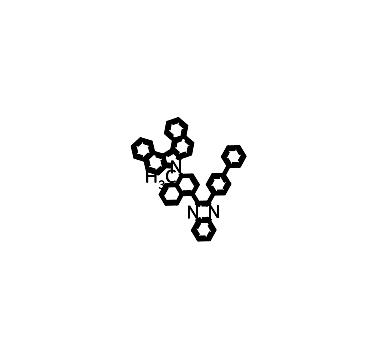 CC12C=CC=CC1=C(c1nc3ccccc3nc1-c1ccc(-c3ccccc3)cc1)C=CC2n1c2ccc3ccccc3c2c2c3ccccc3ccc21